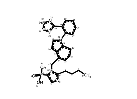 CCCCc1ncc(P(=O)(O)O)n1Cc1cccc2c1ccn2-c1ccccc1-c1nn[nH]n1